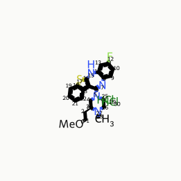 COCC[C@H]1CN(C2=Nc3ccc(F)cc3Nc3sc4ccccc4c32)CCN1C.Cl.Cl